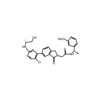 COc1cccc([C@@H](C)NC(=O)CN2Cc3ccc(-c4nc(N[C@H](C)CO)ncc4Cl)cc3C2=O)c1